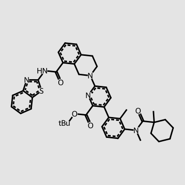 Cc1c(-c2ccc(N3CCc4cccc(C(=O)Nc5nc6ccccc6s5)c4C3)nc2C(=O)OC(C)(C)C)cccc1N(C)C(=O)C1(C)CCCCC1